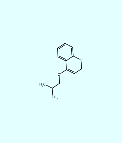 CC(C)COC1=CCOc2ccccc21